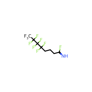 N=C(F)CCCC(F)(F)C(F)(F)C(F)(F)C(F)(F)F